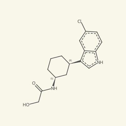 O=C(CO)N[C@H]1CCC[C@@H](c2c[nH]c3ccc(Cl)cc23)C1